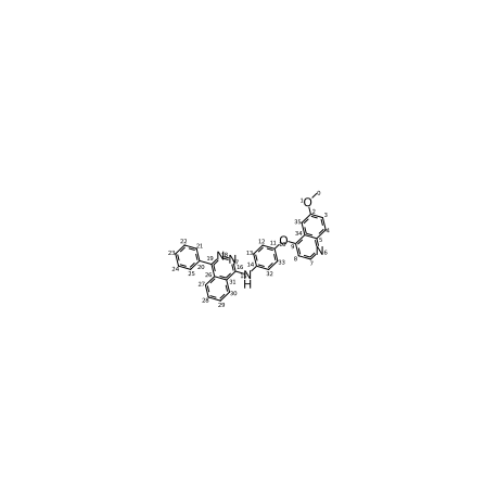 COc1ccc2nccc(Oc3ccc(Nc4nnc(-c5ccccc5)c5ccccc45)cc3)c2c1